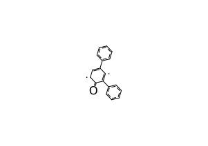 O=C1[CH]C=C(c2ccccc2)[C]=C1c1ccccc1